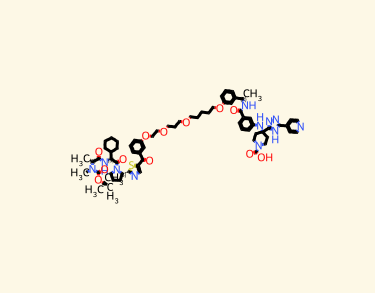 C[C@@H](NC(=O)c1cccc(NC2(c3nnc(-c4ccncc4)[nH]3)CCN(C(=O)O)CC2)c1)c1cccc(OCCCCCOCCCOCCOc2cccc(C(=O)c3cnc([C@@H]4CCCN4C(=O)[C@@H](NC(=O)[C@H](C)N(C)C(=O)OC(C)(C)C)C4CCCCC4)s3)c2)c1